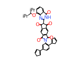 CC(C)C(Oc1cccc2c(=O)[nH]c(C3C(=O)c4cc5c(cc4C3=O)C(=O)N(c3cc(C4=CCC=C4)ccc3C3=CC=CC3)C5=O)nc12)C(C)C